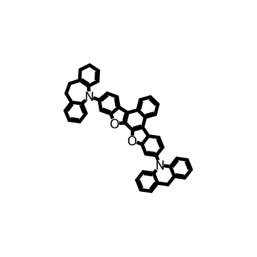 C1=CC2=C(CC1)CCc1ccccc1N2c1ccc2c(c1)oc1c3c(c4ccccc4c12)C1C=CC(N2c4ccccc4Cc4ccccc42)=CC1O3